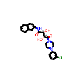 O=C(Nc1ccc2ccccc2c1)[C@H](O)[C@@H](O)C(=O)N1CCN(c2cccc(Cl)c2)CC1